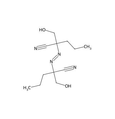 CCCC(C#N)(CO)N=NC(C#N)(CO)CCC